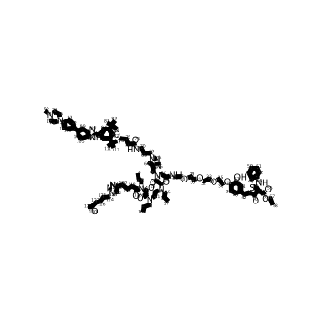 CCCN(CC(=O)N(CCC)CC(=O)N(CCC)CC(=O)N(CC(=O)NCCOCCOCCOCCOc1ccc(/C=C2\SC(Nc3ccccc3)=C(C(=O)OCC)C2=O)cc1O)Cc1cn(CCCNC(=O)CCCOc2c(C(C)(C)C)cc(-c3nc4cc(-c5ccc(N6CCN(C)CC6)cc5)ccc4[nH]3)cc2C(C)(C)C)nn1)C(=O)CCCc1cn(CCCCC(C)=O)nn1